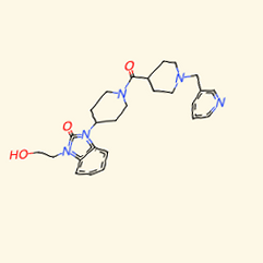 O=C(C1CCN(Cc2cccnc2)CC1)N1CCC(n2c(=O)n(CCO)c3ccccc32)CC1